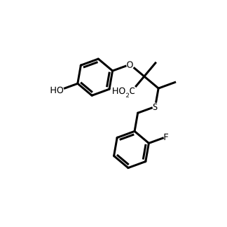 CC(SCc1ccccc1F)C(C)(Oc1ccc(O)cc1)C(=O)O